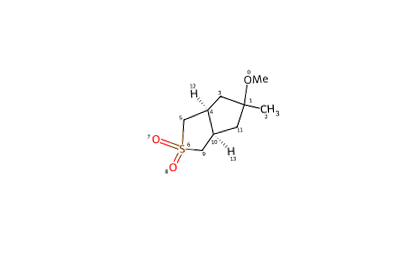 COC1(C)C[C@@H]2CS(=O)(=O)C[C@@H]2C1